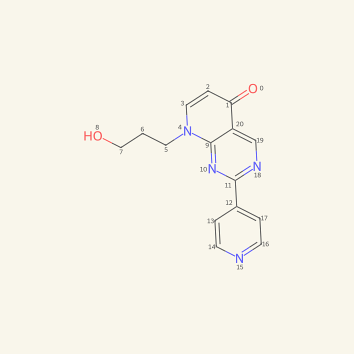 O=c1ccn(CCCO)c2nc(-c3ccncc3)ncc12